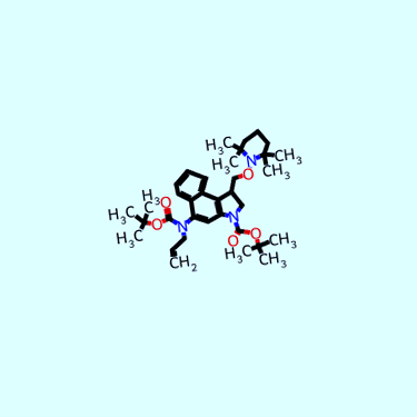 C=CCN(C(=O)OC(C)(C)C)c1cc2c(c3ccccc13)C(CON1C(C)(C)CCCC1(C)C)CN2C(=O)OC(C)(C)C